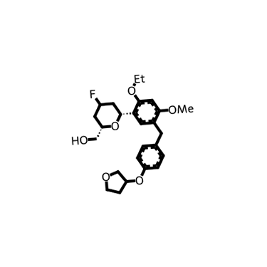 CCOc1cc(OC)c(Cc2ccc(OC3CCOC3)cc2)cc1[C@H]1CC(F)C[C@@H](CO)O1